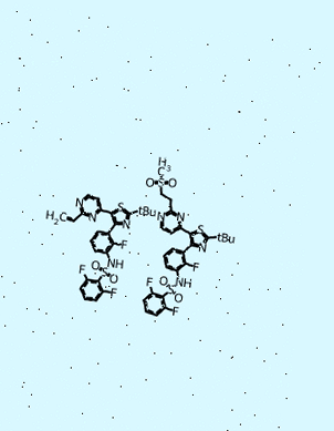 C=Cc1nccc(-c2sc(C(C)(C)C)nc2-c2cccc(NS(=O)(=O)c3c(F)cccc3F)c2F)n1.CC(C)(C)c1nc(-c2cccc(NS(=O)(=O)c3c(F)cccc3F)c2F)c(-c2ccnc(CCS(C)(=O)=O)n2)s1